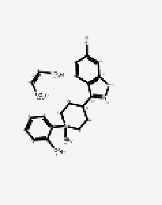 CCCC[N+]1(c2ccccc2OC)CCC(c2noc3cc(F)ccc23)CC1.O=C(O)/C=C\C(=O)O